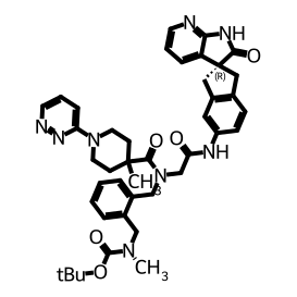 CN(Cc1ccccc1CN(CC(=O)Nc1ccc2c(c1)C[C@@]1(C2)C(=O)Nc2ncccc21)C(=O)C1(C)CCN(c2cccnn2)CC1)C(=O)OC(C)(C)C